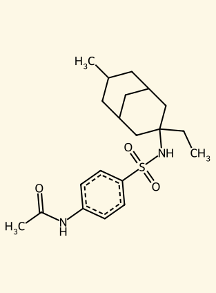 CCC1(NS(=O)(=O)c2ccc(NC(C)=O)cc2)CC2CC(C)CC(C2)C1